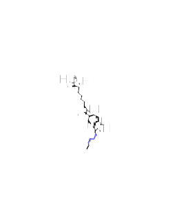 C=C/C=C\C=C/CNC1=NCC=C(C(=O)NCCCCCCC(=O)NO)C=N1